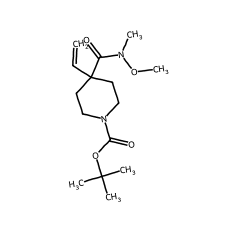 C=CC1(C(=O)N(C)OC)CCN(C(=O)OC(C)(C)C)CC1